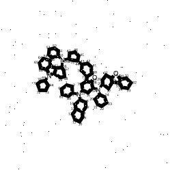 c1ccc(N(c2ccc3ccccc3c2)c2cc(N(c3ccccc3)c3ccc4oc5ccccc5c4c3)c3oc4ccc(-c5cccc(N(c6ccccc6)c6cccc7c6c6ccccc6n7-c6ccccc6)c5)cc4c3c2)cc1